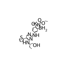 Bc1cc(Nc2ncc(-c3cccs3)c(N[C@H](CC)CO)n2)ccc1S(C)(=O)=NC(=O)OCC